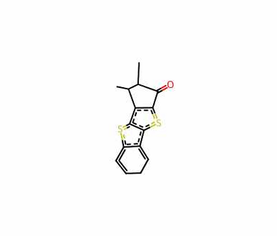 CC1C(=O)c2sc3c4c(sc3c2C1C)=C=CCC=4